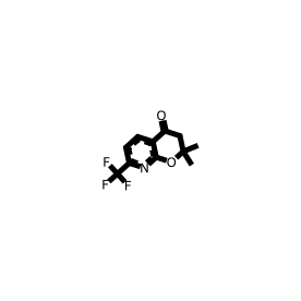 CC1(C)CC(=O)c2ccc(C(F)(F)F)nc2O1